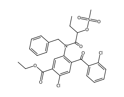 CCOC(=O)c1cc(N(Cc2ccccc2)C(=O)C(CC)OS(C)(=O)=O)c(C(=O)c2ccccc2Cl)cc1Cl